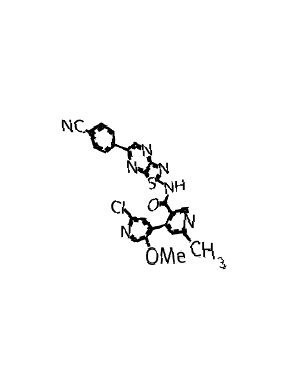 COc1cnc(Cl)cc1-c1cc(C)ncc1C(=O)Nc1nc2ncc(-c3ccc(C#N)cc3)nc2s1